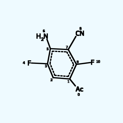 CC(=O)c1cc(F)c(N)c(C#N)c1F